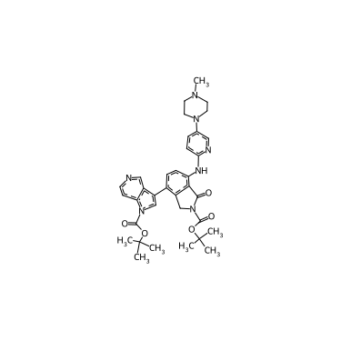 CN1CCN(c2ccc(Nc3ccc(-c4cn(C(=O)OC(C)(C)C)c5ccncc45)c4c3C(=O)N(C(=O)OC(C)(C)C)C4)nc2)CC1